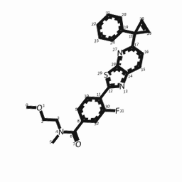 COCCN(C)C(=O)c1ccc(-c2nc3ccc(C4(c5ccccc5)C=C4)nc3s2)c(F)c1